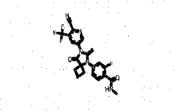 C=C1N(c2cnc(C#N)c(C(F)(F)F)c2)C(=O)C2(CCC2)N1c1ccc(C(=O)NC)c(F)c1